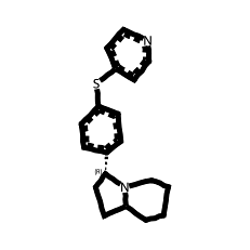 c1cc(Sc2ccc([C@H]3CCC4CCCCN43)cc2)ccn1